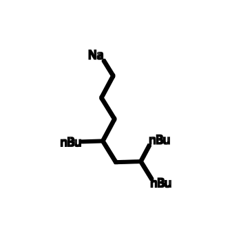 CCCCC(CCCC)CC(CCCC)CC[CH2][Na]